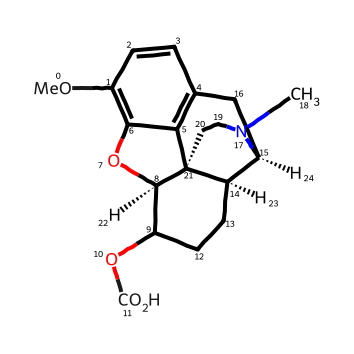 COc1ccc2c3c1O[C@@H]1C(OC(=O)O)CC[C@@H]4[C@H](C2)N(C)CC[C@@]314